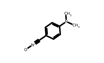 CN(C)c1ccc(C#[N+][O-])cc1